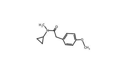 COc1ccc(CC(=O)N(C)C2CC2)cc1